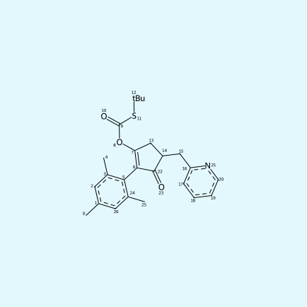 Cc1cc(C)c(C2=C(OC(=O)SC(C)(C)C)CC(Cc3ccccn3)C2=O)c(C)c1